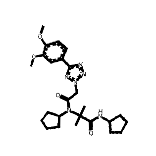 COc1ccc(-c2nnn(CC(=O)N(C3CCCC3)C(C)(C)C(=O)NC3CCCC3)n2)cc1OC